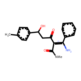 CNC(=O)/C(C(=O)CC(O)c1ccc(C)cc1)=C(\N)c1ccccc1